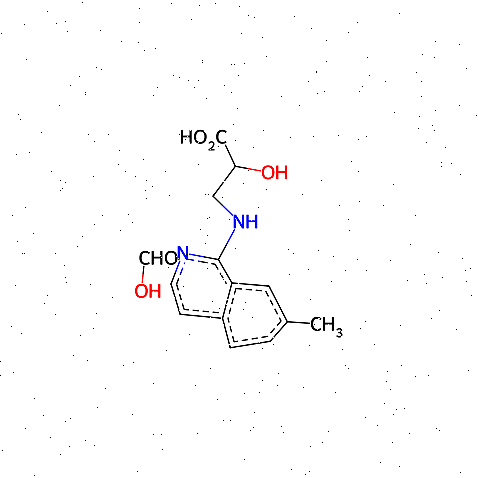 Cc1ccc2ccnc(NCC(O)C(=O)O)c2c1.O=CO